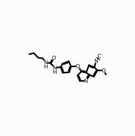 [C-]#[N+]c1cc2c(Oc3ccc(NC(=O)NCCCC)cc3)ccnc2cc1OC